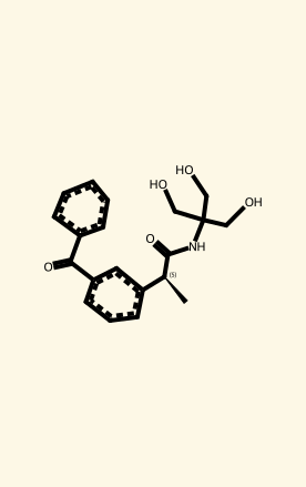 C[C@H](C(=O)NC(CO)(CO)CO)c1cccc(C(=O)c2ccccc2)c1